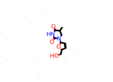 CC1CN(C2C=CC(CO)O2)C(=O)NC1=O